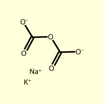 O=C([O-])OC(=O)[O-].[K+].[Na+]